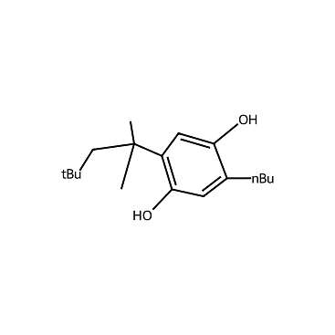 CCCCc1cc(O)c(C(C)(C)CC(C)(C)C)cc1O